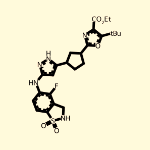 CCOC(=O)c1nc(C2CCC(c3cc(Nc4ccc5c(c4F)CNS5(=O)=O)n[nH]3)C2)oc1C(C)(C)C